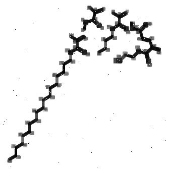 C=C(C)C(=O)OC.C=C(C)C(=O)OCCCC.C=C(C)C(=O)OCCCCCCCCCCCCCCCCCC.C=C(C=CC(=O)O)C(=O)OCCO